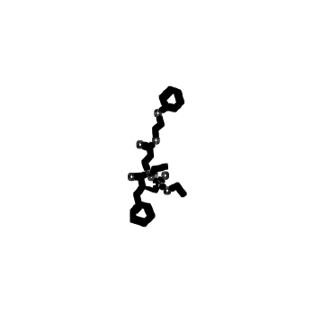 CCOP(=O)(C[C@@H](Cc1ccccc1)C(=O)NCCC(=O)OCCOc1ccccc1)OCC